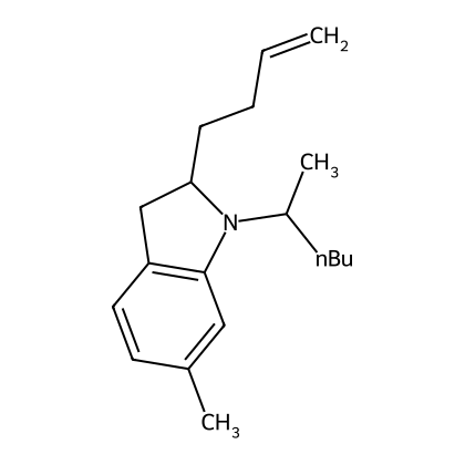 C=CCCC1Cc2ccc(C)cc2N1C(C)CCCC